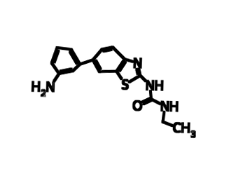 CCNC(=O)Nc1nc2ccc(-c3cccc(N)c3)cc2s1